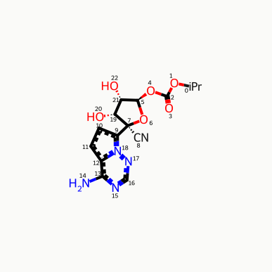 CC(C)OC(=O)O[C@H]1O[C@@](C#N)(c2ccc3c(N)ncnn23)[C@H](O)[C@@H]1O